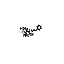 O=C(C=Cc1ccccc1)OC(C(=O)O)C(OO)C(=O)O